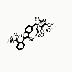 CCC1=NC(C)=C(C(=O)[O-])[N+]1(CCOC(C)=O)Cc1ccc2oc(-c3ccccc3-c3nnn[nH]3)c(Br)c2c1